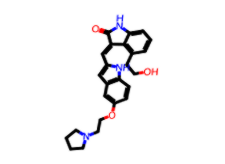 O=C1Nc2cccc(CCO)c2/C1=C\c1cc2cc(OCCN3CCCC3)ccc2[nH]1